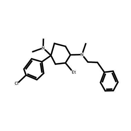 CCC1CC(c2ccc(Cl)cc2)(N(C)C)CCC1N(C)CCc1ccccc1